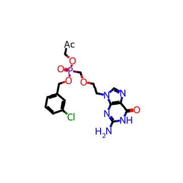 CC(=O)COP(=O)(COCCn1cnc2c(=O)[nH]c(N)nc21)OCc1cccc(Cl)c1